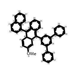 COC1=CC2C(c3cc(-c4ccccc4)cc(-c4ccccc4)c3)=c3ccccc3=C(c3cccc4ccccc34)C2C=C1